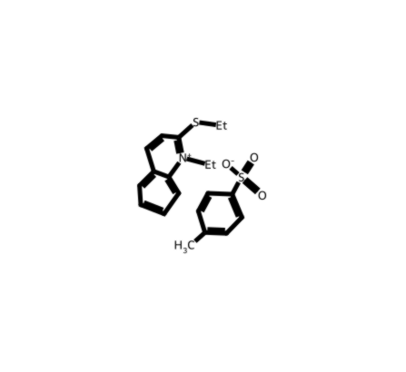 CCSc1ccc2ccccc2[n+]1CC.Cc1ccc(S(=O)(=O)[O-])cc1